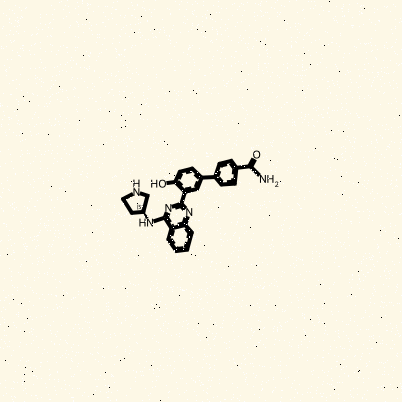 NC(=O)c1ccc(-c2ccc(O)c(-c3nc(N[C@H]4CCNC4)c4ccccc4n3)c2)cc1